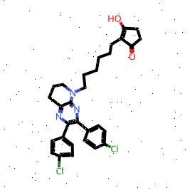 O=C1CCC(O)=C1CCCCCCN1CCCc2nc(-c3ccc(Cl)cc3)c(-c3ccc(Cl)cc3)nc21